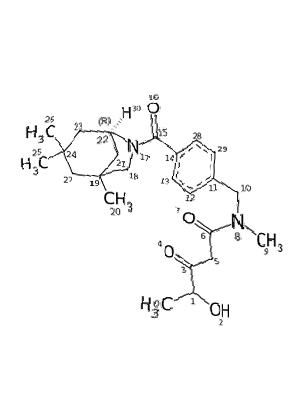 CC(O)C(=O)CC(=O)N(C)Cc1ccc(C(=O)N2CC3(C)C[C@H]2CC(C)(C)C3)cc1